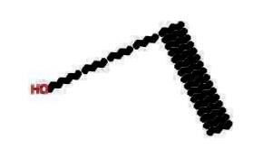 CCCCCC.CCCCCC.CCCCCC.CCCCCC.CCCCCC.CCCCCC.CCCCCC.CCCCCC.CCCCCC.CCCCCC.CCCCCC.CCCCCC.CCCCCC.CCCCCC.CCCCCC.CCCCCC.CCCCCC.CCCCCC.CCCCCC.CCCCCCCCO